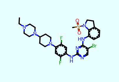 CCN1CCN(C2CCN(c3cc(F)c(Nc4ncc(Br)c(Nc5cccc6c5N(S(C)(=O)=O)CC6)n4)cc3F)CC2)CC1